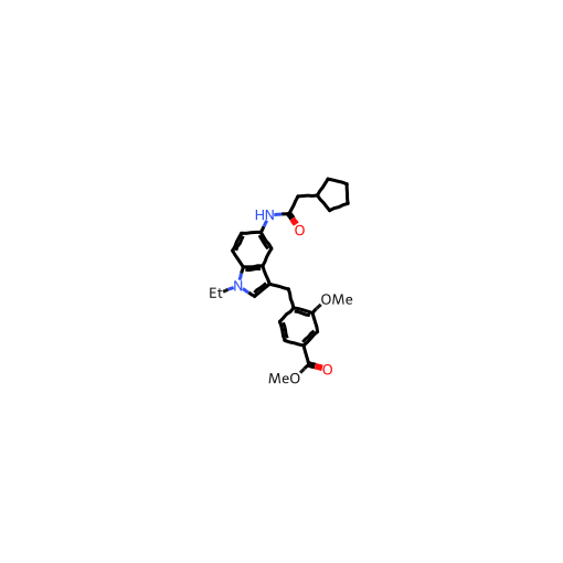 CCn1cc(Cc2ccc(C(=O)OC)cc2OC)c2cc(NC(=O)CC3CCCC3)ccc21